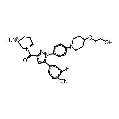 N#Cc1ccc(-c2cc(C(=O)[N+]3=CCC[C@@H](N)C3)nn2-c2ccc(N3CCC(OCCO)CC3)cc2)cc1F